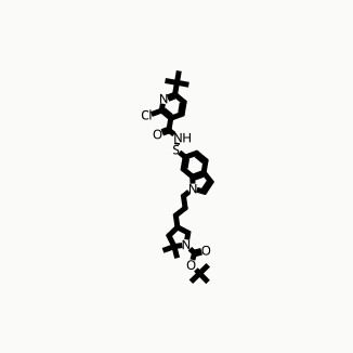 CC(C)(C)OC(=O)N1CC(CCCn2ccc3ccc(SNC(=O)c4ccc(C(C)(C)C)nc4Cl)cc32)CC1(C)C